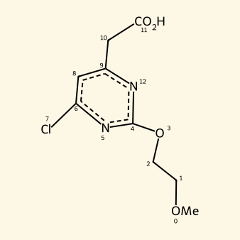 COCCOc1nc(Cl)cc(CC(=O)O)n1